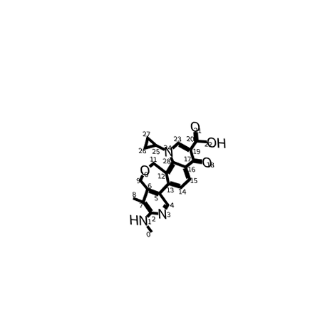 CNc1ncc2c(c1C)COCc1c-2ccc2c(=O)c(C(=O)O)cn(C3CC3)c12